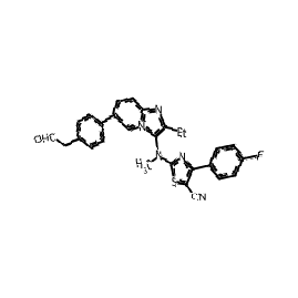 CCc1nc2ccc(-c3ccc(CC=O)cc3)cn2c1N(C)c1nc(-c2ccc(F)cc2)c(C#N)s1